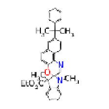 CCOC(=O)C1(C)c2ccccc2N(C)C12C=Nc1c(ccc3cc(C(C)(C)c4ccccc4)ccc13)O2